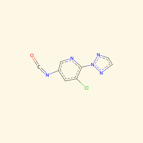 O=C=Nc1cnc(-n2nccn2)c(Cl)c1